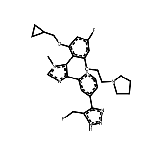 Cn1cnc(-c2cc(-c3nn[nH]c3CF)ccn2)c1-c1c(OCCN2CCCC2)cc(F)cc1OCC1CC1